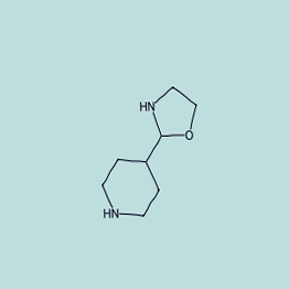 C1CC(C2NCCO2)CCN1